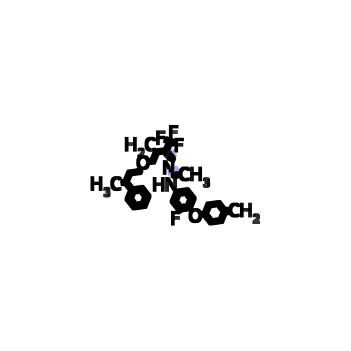 C=C1CCC(Oc2ccc(N/C(C)=N/C=C(\C(=C)COCCC(C)c3ccccc3)C(F)(F)F)cc2F)CC1